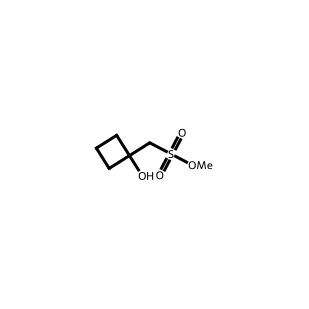 COS(=O)(=O)CC1(O)CCC1